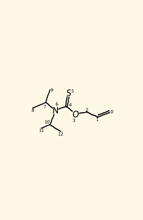 C=CCOC(=S)N(C(C)C)C(C)C